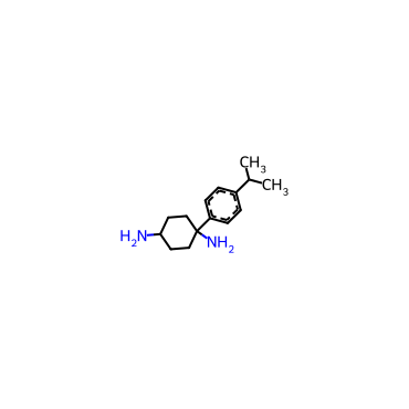 CC(C)c1ccc(C2(N)CCC(N)CC2)cc1